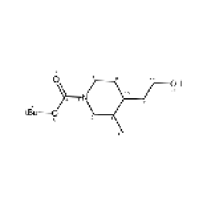 CC1CN(C(=O)OC(C)(C)C)CCC1CCO